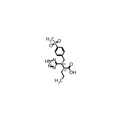 CCC[C@H](C(=O)O)[C@H](Cc1ccc(S(C)(=O)=O)cc1)c1nn[nH]n1